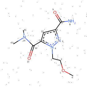 COCCn1nc(C(N)=O)[c]c1C(=O)N(C)C